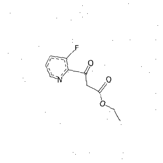 CCOC(=O)CC(=O)c1ncccc1F